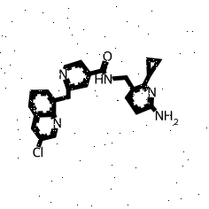 Nc1ccc(CNC(=O)c2ccnc(Cc3cccc4cc(Cl)cnc34)c2)c(C2CC2)n1